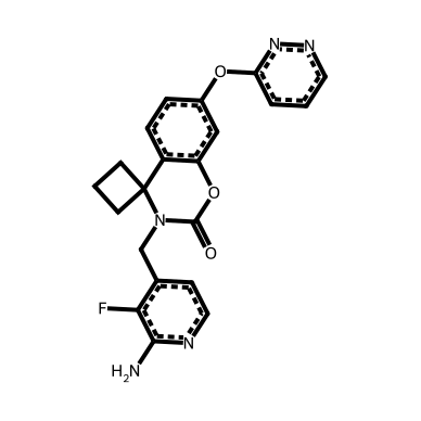 Nc1nccc(CN2C(=O)Oc3cc(Oc4cccnn4)ccc3C23CCC3)c1F